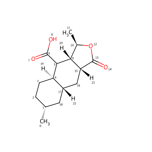 C[C@@H]1CC[C@H]2C(C(=O)O)[C@@H]3[C@@H](C)OC(=O)[C@@H]3C[C@@H]2C1